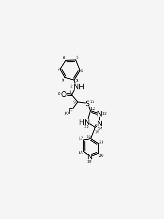 O=C(Nc1ccccc1)C(F)Sc1nnc(-c2ccncc2)[nH]1